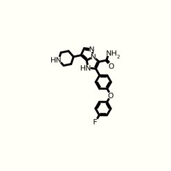 NC(=O)c1c(-c2ccc(Oc3ccc(F)cc3)cc2)[nH]c2c(C3CCNCC3)cnn12